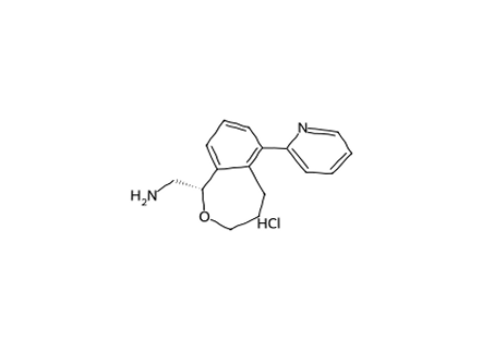 Cl.NC[C@H]1OCCCc2c(-c3ccccn3)cccc21